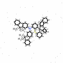 CC1(C)c2ccccc2-c2ccc(N(c3ccc4c(c3)C(C)(C)c3ccccc3-4)c3cccc4c3Sc3ccccc3C43c4ccccc4-c4c3ccc3ccccc43)cc21